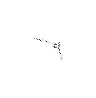 CCCCCCCCCCCCCOP(=O)(O)OCCCCCCCC